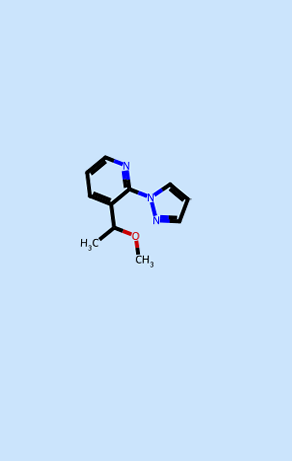 COC(C)c1cccnc1-n1c[c]cn1